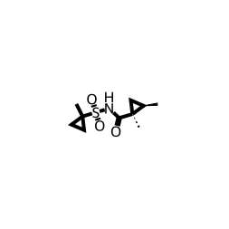 C[C@@H]1C[C@]1(C)C(=O)NS(=O)(=O)C1(C)CC1